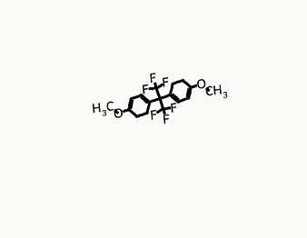 COC1=CC=C(C(C2=CC=C(OC)CC2)(C(F)(F)F)C(F)(F)F)CC1